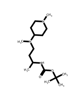 CC(CCN(C)C1CCN(C)CC1)NC(=O)OC(C)(C)C